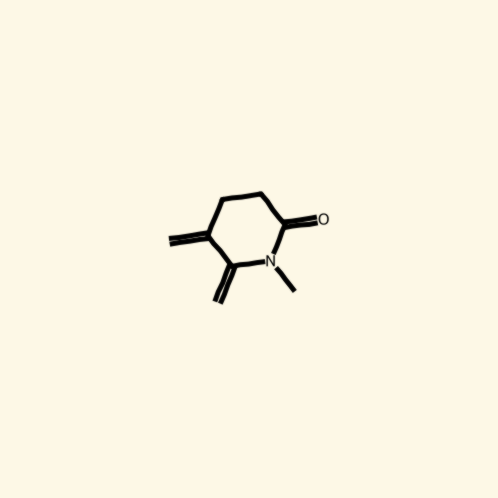 C=C1CCC(=O)N(C)C1=C